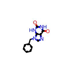 O=c1[nH]c(=O)c2ncn(Cc3ccccc3)c2[nH]1